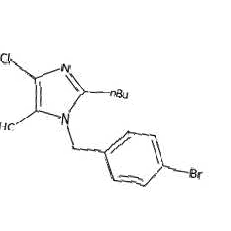 CCCCc1nc(Cl)c(C=O)n1Cc1ccc(Br)cc1